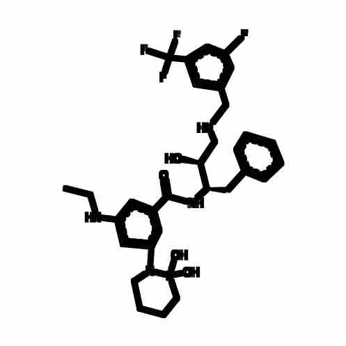 CCNc1cc(C(=O)N[C@@H](Cc2ccccc2)[C@@H](O)CNCc2cc(F)cc(C(F)(F)F)c2)cc(N2CCCCS2(O)O)c1